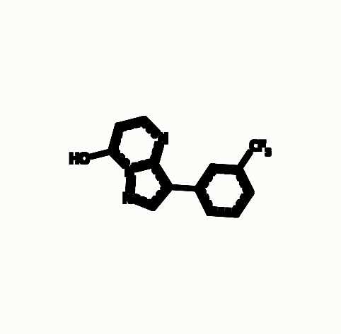 Oc1ccnc2c(-c3cccc(C(F)(F)F)c3)cnn12